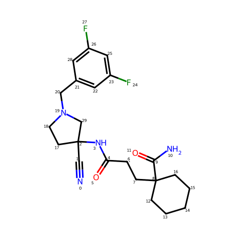 N#CC1(NC(=O)[CH]CC2(C(N)=O)CCCCC2)CCN(Cc2cc(F)cc(F)c2)C1